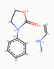 C=CNC.O=C1OCCN1c1ccccc1